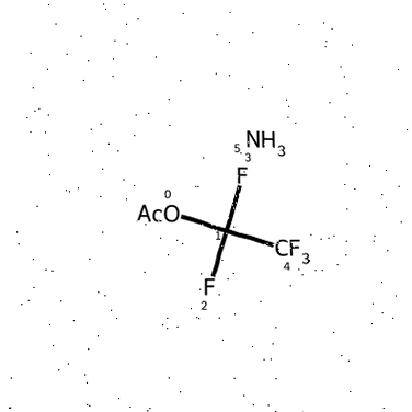 CC(=O)OC(F)(F)C(F)(F)F.N